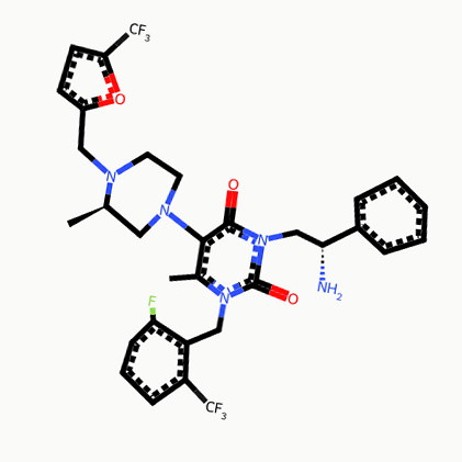 Cc1c(N2CCN(Cc3ccc(C(F)(F)F)o3)[C@H](C)C2)c(=O)n(C[C@@H](N)c2ccccc2)c(=O)n1Cc1c(F)cccc1C(F)(F)F